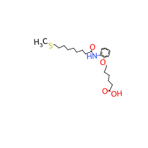 CSCCCCCCCCC(=O)Nc1ccccc1OCCCCCC(=O)O